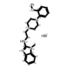 Br.CC(C)Oc1ccccc1N1CCN(CCNc2nc3ccccc3n2C)CC1